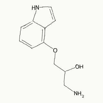 NCC(O)COc1cccc2[nH]ccc12